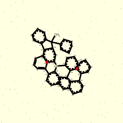 CC1(c2ccccc2)c2ccccc2-c2ccc(N(c3ccccc3C3=CC=CCC3)c3ccccc3-c3cccc4cccc(-c5ccccc5)c34)cc21